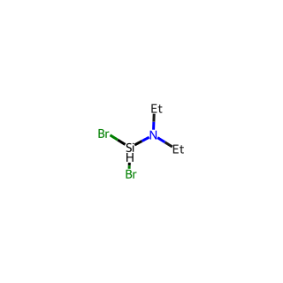 CCN(CC)[SiH](Br)Br